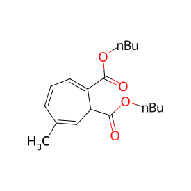 CCCCOC(=O)C1=CC=CC(C)=CC1C(=O)OCCCC